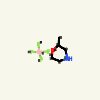 CC1CNCCO1.F[B-](F)(F)F